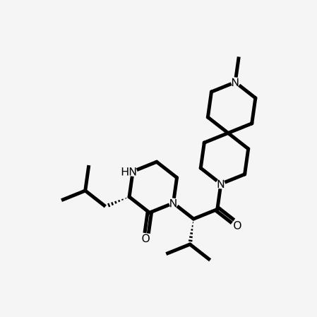 CC(C)C[C@@H]1NCCN([C@H](C(=O)N2CCC3(CCN(C)CC3)CC2)C(C)C)C1=O